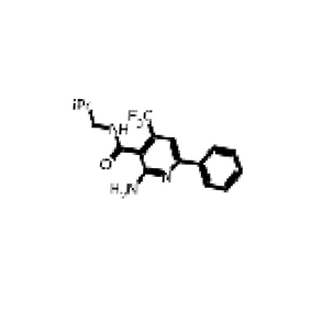 CC(C)CNC(=O)c1c(C(F)(F)F)cc(-c2ccccc2)nc1N